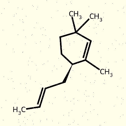 C/C=C/C[C@H]1CCC(C)(C)C=C1C